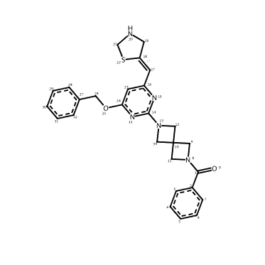 O=C(c1ccccc1)N1CC2(C1)CN(c1nc(/C=C3/CNCS3)cc(OCc3ccccc3)n1)C2